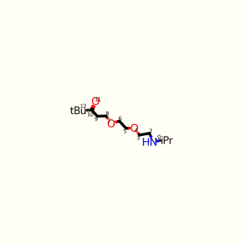 CC(C)NCCOCCOCCC(=O)C(C)(C)C